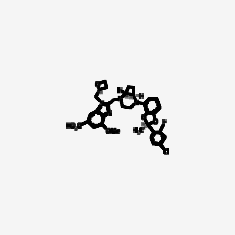 COc1cc(C(=O)O)cc2c1nc(CN1CCN(c3cccc4c3O[C@](C)(c3ccc(Cl)cc3F)O4)[C@@H]3CC[C@H]31)n2C[C@@H]1CCO1